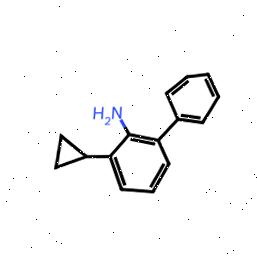 Nc1c(-c2ccccc2)cccc1C1CC1